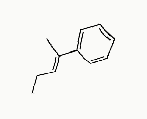 [CH2]CC=C(C)c1ccccc1